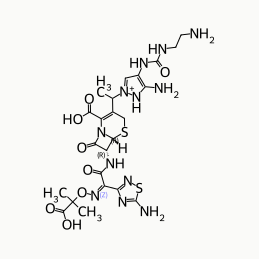 CC(C1=C(C(=O)O)N2C(=O)[C@@H](NC(=O)/C(=N\OC(C)(C)C(=O)O)c3nsc(N)n3)[C@H]2SC1)[n+]1cc(NC(=O)NCCN)c(N)[nH]1